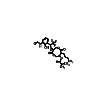 CCCCC1C(=O)OCC(NC(c2cccc(NC=O)c2O)C(F)(F)F)C(=O)OCC1OC(=O)C(C)C